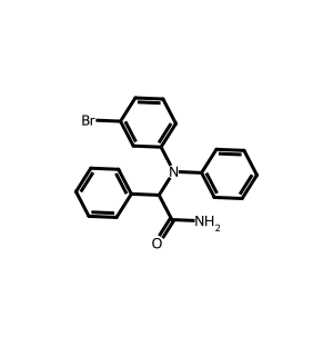 NC(=O)C(c1ccccc1)N(c1ccccc1)c1cccc(Br)c1